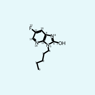 CCCCCn1c(O)nc2cc(F)cnc21